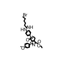 CCOC(=O)c1nn(-c2ccc(OC)cc2)c2c1CCN(c1ccc(NC(=N)CCCCCBr)cc1)C2=O